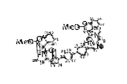 COC(=O)C[C@@H](C(=O)N(C)[C@@H](C)c1ncc(-c2ccc(-c3ccc(-c4cnc([C@@H]5CCCN5C(=O)[C@H](NC(=O)OC)c5ccccc5)[nH]4)cc3)cc2)[nH]1)c1ccccc1